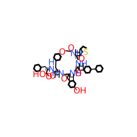 O=C1COc2ccc(cc2)C[C@@H](C(=O)N[C@H](Cc2ccccc2)C(=O)O)NC(=O)[C@H](Cc2ccc(O)cc2)NC(=O)[C@@H](Cc2ccc(-c3ccccc3)cc2)NC(=O)[C@H](Cc2cccs2)N1